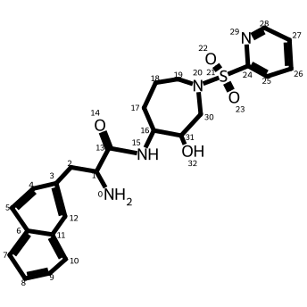 NC(Cc1ccc2ccccc2c1)C(=O)NC1CCCN(S(=O)(=O)c2ccccn2)CC1O